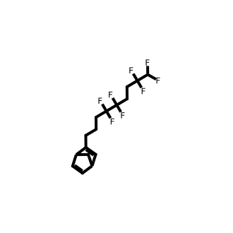 FC(F)C(F)(F)CCC(F)(F)C(F)(F)CCCC1=CC2C=CC1C2